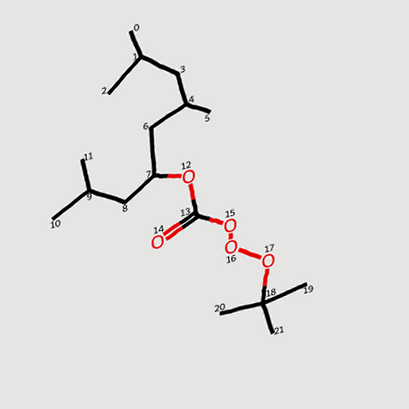 CC(C)CC(C)CC(CC(C)C)OC(=O)OOOC(C)(C)C